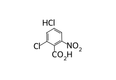 Cl.O=C(O)c1c(Cl)cccc1[N+](=O)[O-]